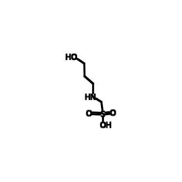 O=S(=O)(O)CNCCCO